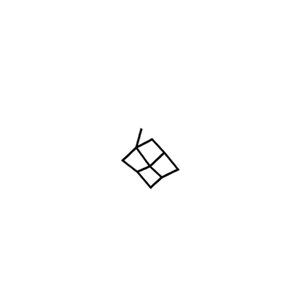 CC12CC3CC4CC(C1)C432